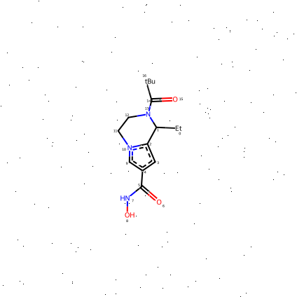 CCC1c2cc(C(=O)NO)cn2CCN1C(=O)C(C)(C)C